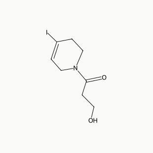 O=C(CCO)N1CC=C(I)CC1